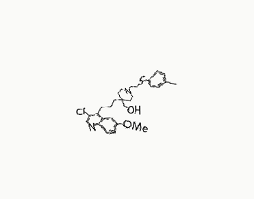 COc1ccc2ncc(Cl)c(CCCC3(CO)CCN(CCSc4ccc(C)cc4)CC3)c2c1